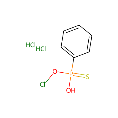 Cl.Cl.OP(=S)(OCl)c1ccccc1